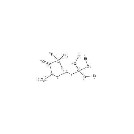 CCOC(=O)C(CCC[Si](OCC)(OCC)OCC)C(=O)C(F)(F)C(F)(F)F